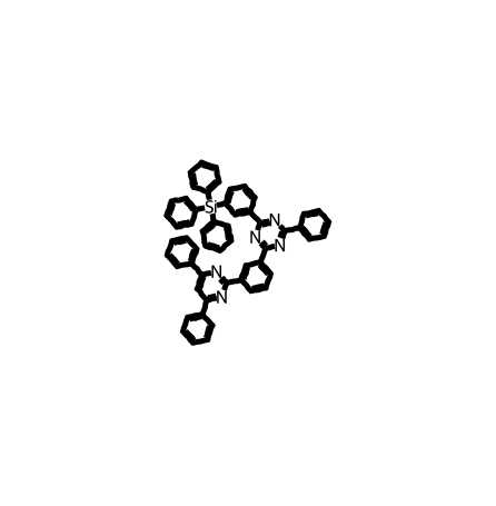 c1ccc(-c2cc(-c3ccccc3)nc(-c3cccc(-c4nc(-c5ccccc5)nc(-c5cccc([Si](c6ccccc6)(c6ccccc6)c6ccccc6)c5)n4)c3)n2)cc1